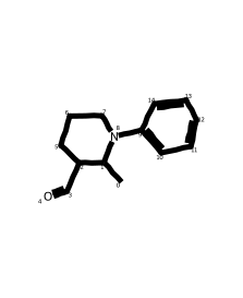 CC1C(C=O)CCCN1c1ccccc1